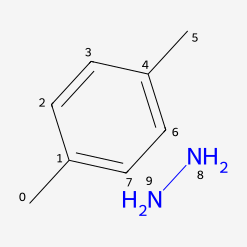 Cc1ccc(C)cc1.NN